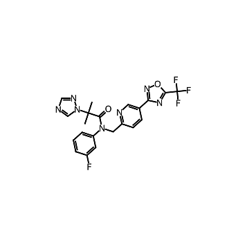 CC(C)(C(=O)N(Cc1ccc(-c2noc(C(F)(F)F)n2)cn1)c1cccc(F)c1)n1cncn1